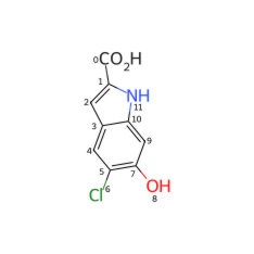 O=C(O)c1cc2cc(Cl)c(O)cc2[nH]1